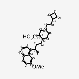 COc1ccc2nccc(C(F)CC[C@@H]3CCN(CCC4CCC4)C[C@@H]3C(=O)O)c2c1